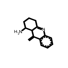 C=C1c2ccccc2N=C2CCCC(N)C12